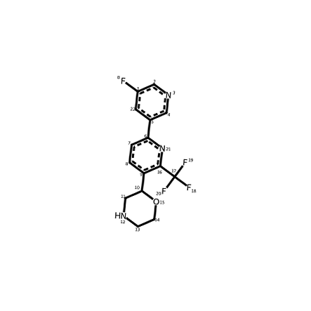 Fc1cncc(-c2ccc(C3CNCCO3)c(C(F)(F)F)n2)c1